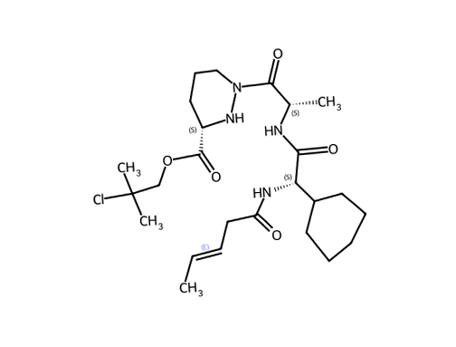 C/C=C/CC(=O)N[C@H](C(=O)N[C@@H](C)C(=O)N1CCC[C@@H](C(=O)OCC(C)(C)Cl)N1)C1CCCCC1